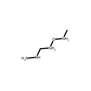 C[SiH2]O[SiH2]CNN